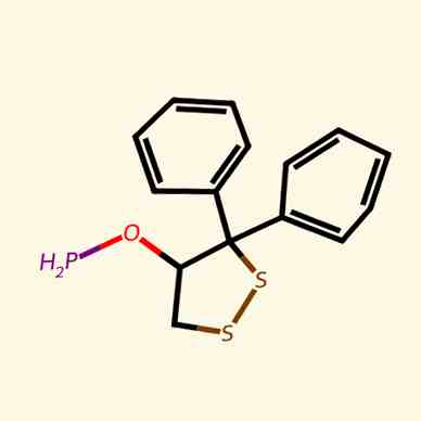 POC1CSSC1(c1ccccc1)c1ccccc1